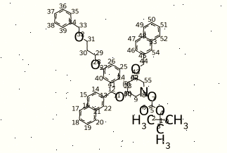 CC(C)(C)OC(=O)ON1C[C@H](OCc2ccc3ccccc3c2)[C@H](c2ccc(OCCCOCc3ccccc3)cc2)[C@H](OCc2ccc3ccccc3c2)C1